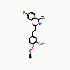 C#CCOc1ccc(CCC(=O)NC(C#N)c2ccc(F)cc2)cc1OC